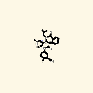 CN/C=C(\C=N)[C@@H]1[C@@H](C(=O)Nc2ccc(F)c(C#N)c2)c2ccccc2C(=O)N1CC(C)C